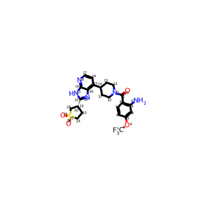 Nc1cc(OC(F)(F)F)ccc1C(=O)N1CCC(c2ccnc3[nH]c([C@@H]4CCS(=O)(=O)C4)nc23)CC1